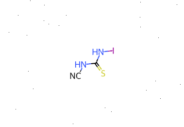 N#CNC(=S)NI